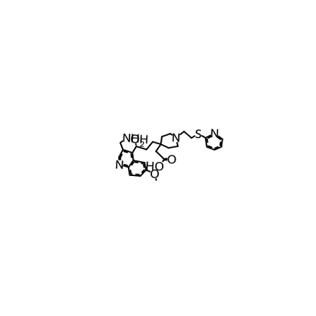 COc1ccc2ncc(CN)c([C@@H](O)CCC3(CC(=O)O)CCN(CCSc4ccccn4)CC3)c2c1